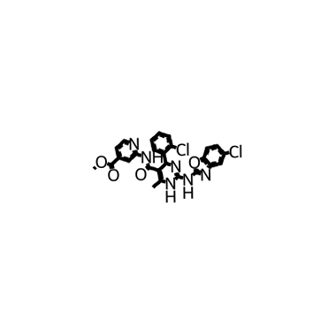 COC(=O)c1ccnc(NC(=O)C2=C(C)NC(Nc3nc4cc(Cl)ccc4o3)=NC2c2ccccc2Cl)c1